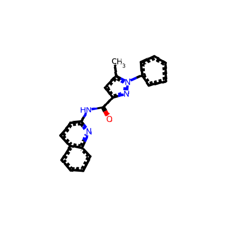 Cc1cc(C(=O)Nc2ccc3ccccc3n2)nn1-c1ccccc1